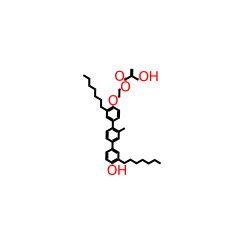 C=C(CO)C(=O)OCCOc1ccc(-c2ccc(-c3ccc(O)c(CCCCCCC)c3)cc2C)cc1CCCCCCC